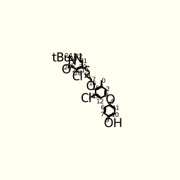 Cc1cc(Oc2ccc(O)cc2)cc(Cl)c1OCCSc1cnn(C(C)(C)C)c(=O)c1Cl